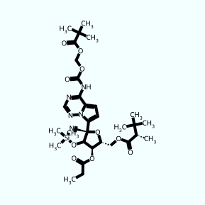 CCC(=O)O[C@H]1C(O[Si](C)(C)C)[C@](C#N)(c2ccc3c(NC(=O)OCOC(=O)C(C)(C)C)ncnn23)O[C@@H]1COC(=O)[C@@H](C)C(C)(C)C